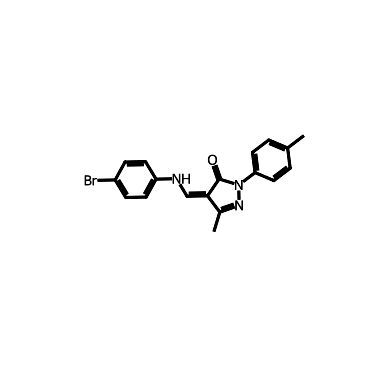 CC1=NN(c2ccc(C)cc2)C(=O)C1=CNc1ccc(Br)cc1